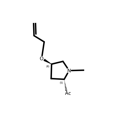 C=CCO[C@@H]1C[C@@H](C(C)=O)N(C)C1